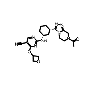 CC(=O)N1CCn2c(nnc2[C@H]2CCC[C@@H](Nc3ncc(C#N)c(OC4COC4)n3)C2)C1